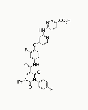 CC(C)n1cc(C(=O)Nc2ccc(Oc3ccnc(Nc4ccc(C(=O)O)cn4)c3)c(F)c2)c(=O)n(-c2ccc(F)cc2)c1=O